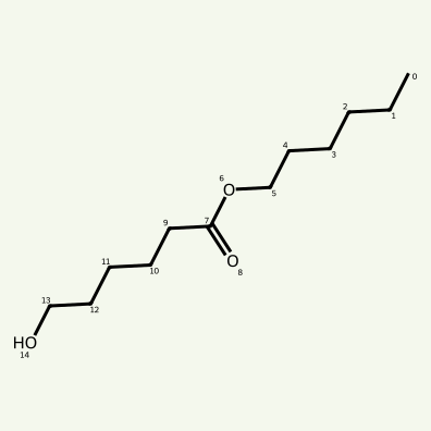 CCCCCCOC(=O)CCCCCO